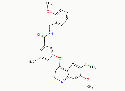 COc1ccccc1CNC(=O)c1cc(C)cc(Oc2ccnc3cc(OC)c(OC)cc23)c1